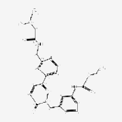 CCOC(=O)Nc1cccc(Cn2nc(-c3cccc(CNC(=O)CN(C)C)c3)ccc2=O)c1